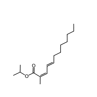 CCCCCCCC=CC=C(C)C(=O)OC(C)C